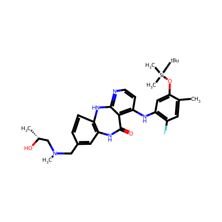 Cc1cc(F)c(Nc2ccnc3c2C(=O)Nc2cc(CN(C)C[C@@H](C)O)ccc2N3)cc1O[Si](C)(C)C(C)(C)C